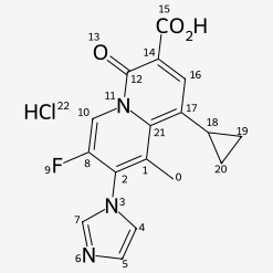 Cc1c(-n2ccnc2)c(F)cn2c(=O)c(C(=O)O)cc(C3CC3)c12.Cl